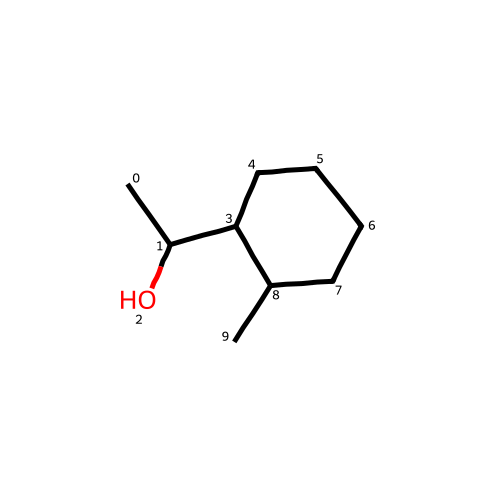 CC(O)C1CCCCC1C